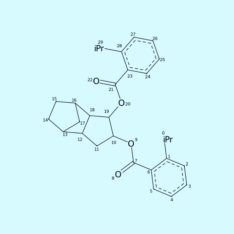 CC(C)c1ccccc1C(=O)OC1CC2C3CCC(C3)C2C1OC(=O)c1ccccc1C(C)C